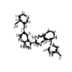 Cc1cn(-c2nccc3[nH]c(-c4n[nH]c5ncc(-c6cnccc6C)cc45)nc23)cn1